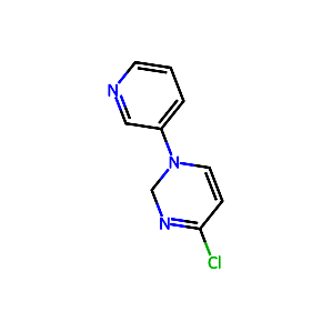 ClC1=NCN(c2cccnc2)C=C1